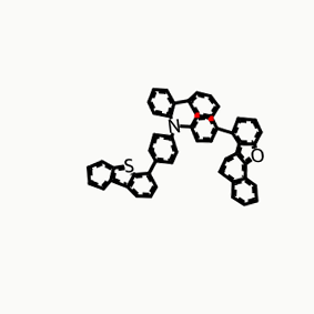 c1ccc(-c2ccccc2N(c2ccc(-c3cccc4c3sc3ccccc34)cc2)c2ccc(-c3cccc4oc5c6ccccc6ccc5c34)cc2)cc1